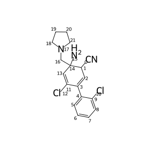 N#CC1C=C(c2ccccc2Cl)C(Cl)=CC1(N)CN1CCCC1